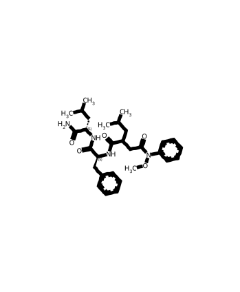 CON(C(=O)CC(CC(C)C)C(=O)N[C@@H](Cc1ccccc1)C(=O)N[C@@H](CC(C)C)C(N)=O)c1ccccc1